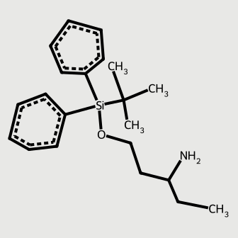 CCC(N)CCO[Si](c1ccccc1)(c1ccccc1)C(C)(C)C